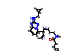 C/C=C\C(/C=C\CCN(C)C(=O)CCC#N)c1cccc2nc(NCC3CC3)nn12